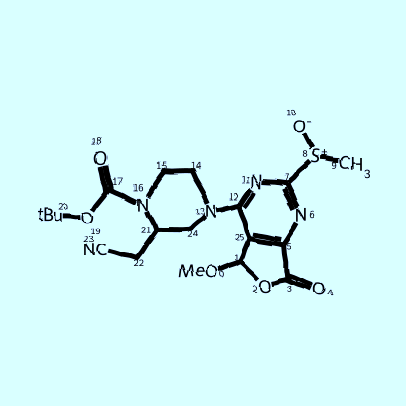 COC1OC(=O)c2nc([S+](C)[O-])nc(N3CCN(C(=O)OC(C)(C)C)C(CC#N)C3)c21